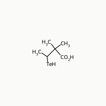 CC([TeH])C(C)(C)C(=O)O